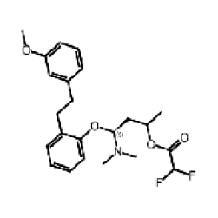 COc1cccc(CCc2ccccc2O[C@@H](CC(C)OC(=O)C(F)F)N(C)C)c1